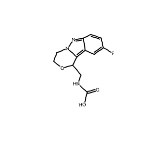 O=C(O)NCC1OCCn2nc3ccc(F)cc3c21